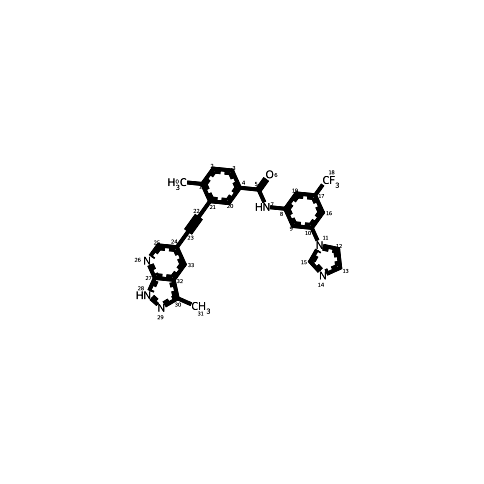 Cc1ccc(C(=O)Nc2cc(-n3ccnc3)cc(C(F)(F)F)c2)cc1C#Cc1cnc2[nH]nc(C)c2c1